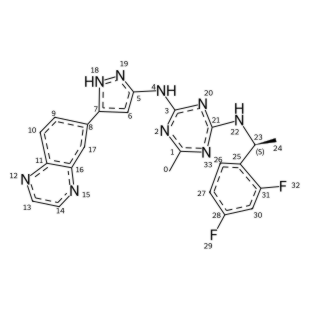 Cc1nc(Nc2cc(-c3ccc4nccnc4c3)[nH]n2)nc(N[C@@H](C)c2ccc(F)cc2F)n1